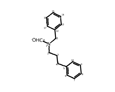 O=[C]N(CCCc1ccccc1)Cc1ccccc1